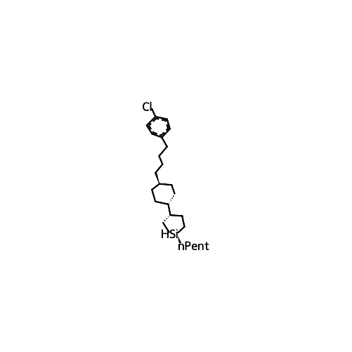 CCCCC[Si@H]1CC[C@H]([C@H]2CC[C@H](CCCCc3ccc(Cl)cc3)CC2)CC1